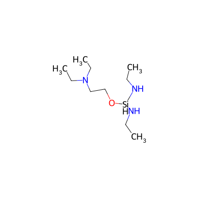 CCN[SiH](NCC)OCCN(CC)CC